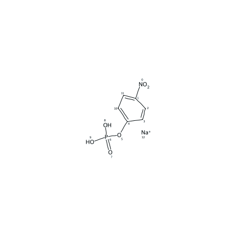 O=[N+]([O-])c1ccc(OP(=O)(O)O)cc1.[Na+]